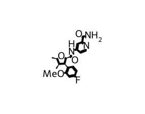 COc1cc(F)ccc1[C@H]1[C@@H](C)[C@@H](C)O[C@H]1C(=O)Nc1ccnc(C(N)=O)c1